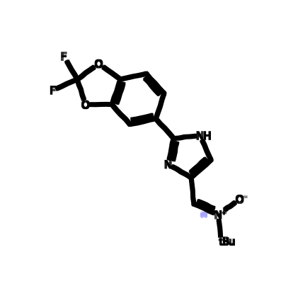 CC(C)(C)/[N+]([O-])=C/c1c[nH]c(-c2ccc3c(c2)OC(F)(F)O3)n1